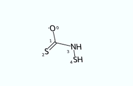 [O]C(=S)NS